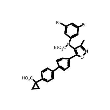 CCOC(=O)N(c1cc(Br)cc(Br)c1)c1c(C)noc1-c1ccc(-c2ccc(C3(C(=O)O)CC3)cc2)cc1